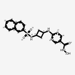 O=C(NO)c1cnc(NC2CC(NS(=O)(=O)c3ccc4ccccc4c3)C2)nc1